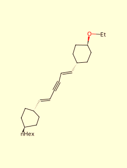 CCCCCC[C@H]1CC[C@H](/C=C/C#C/C=C/[C@H]2CC[C@H](OCC)CC2)CC1